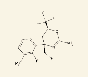 Cc1cccc([C@]2(CF)C[C@@H](C(F)(F)F)OC(N)=N2)c1F